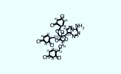 Nc1ncnc2c(C3O[C@H](COCc4ccc(Cl)cc4Cl)[C@@H](OCc4ccc(Cl)cc4Cl)[C@@]3(C=O)OCc3ccc(Cl)cc3Cl)cnn12